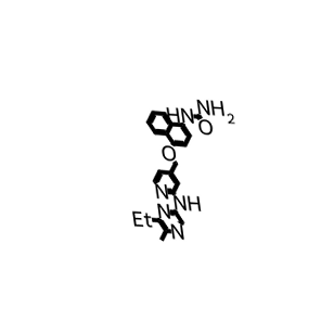 CCc1nc(Nc2cc(COc3ccc(NC(N)=O)c4ccccc34)ccn2)cnc1C